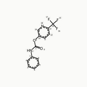 O=C(Nc1ccccc1)Oc1ccc(C(F)(F)F)nc1